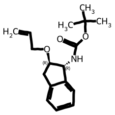 C=CCO[C@@H]1Cc2ccccc2[C@H]1NC(=O)OC(C)(C)C